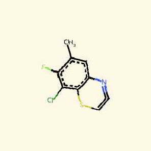 Cc1cc2c(c(Cl)c1F)SC=C=N2